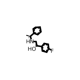 C[C@H](NC[C@@H](O)c1ccc(F)cc1)c1ccccc1